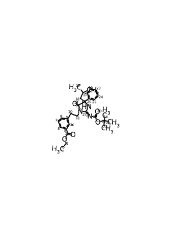 CCOC(=O)c1cccc(CCN2C(=O)[C@](CC(C)C)(c3ccccc3)NC2=NC(=O)OC(C)(C)C)c1